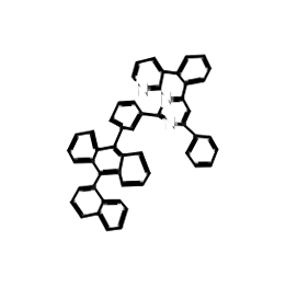 c1ccc(-c2cc(-c3ccccc3-c3cccnc3)nc(-c3cccc(-c4c5ccccc5c(-c5cccc6ccccc56)c5ccccc45)c3)n2)cc1